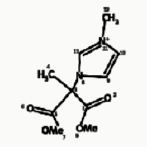 COC(=O)C(C)(C(=O)OC)n1cc[n+](C)c1